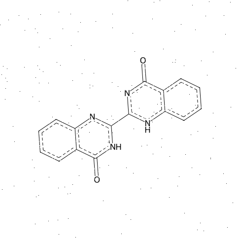 O=c1[nH]c(-c2nc(=O)c3ccccc3[nH]2)nc2ccccc12